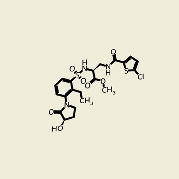 CCc1c(N2CC[C@@H](O)C2=O)cccc1S(=O)(=O)N[C@@H](CNC(=O)c1ccc(Cl)s1)C(=O)OC